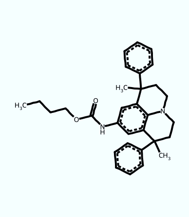 CCCCOC(=O)Nc1cc2c3c(c1)C(C)(c1ccccc1)CCN3CCC2(C)c1ccccc1